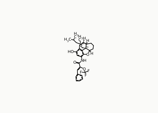 CC(C)C[N+]1(C)CC[C@]23c4c5c(O)cc(NC(=O)C(=Cc6ccccc6)OC(F)(F)F)c4O[C@H]2CCC[C@H]3[C@H]1C5